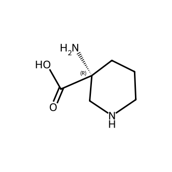 N[C@]1(C(=O)O)CCCNC1